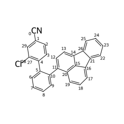 N#Cc1ccc(-c2ccccc2-c2ccc3c4c(cccc24)-c2ccccc2-3)c(Cl)c1